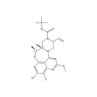 C=CC1CN2c3nc(OC)nc4c(F)c(Cl)nc(c34)O[C@@H](C)[C@@H]2CN1C(=O)OC(C)(C)C